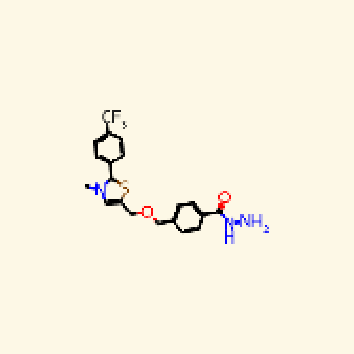 CN1C=C(COCc2ccc(C(=O)NN)cc2)SC1c1ccc(C(F)(F)F)cc1